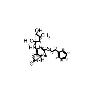 CC(C[C@@H](C)CO)Nc1nc(SCCc2ccccc2)nc2[nH]c(=O)sc12